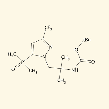 CC(C)(Cn1nc(C(F)(F)F)cc1P(C)(C)=O)NC(=O)OC(C)(C)C